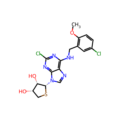 COc1ccc(Cl)cc1CNc1nc(Cl)nc2c1ncn2[C@@H]1SC[C@H](O)[C@@H]1O